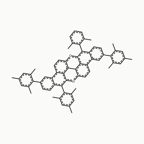 Cc1cc(C)c(-c2ccc3c(-c4c(C)cccc4C)c4oc5ccc6c7cc(-c8c(C)cc(C)cc8C)ccc7c(-c7c(C)cc(C)cc7C)c7oc8ccc(c3c2)c4c8-c5c76)c(C)c1